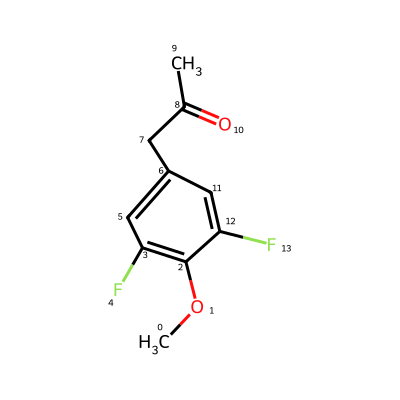 COc1c(F)cc(CC(C)=O)cc1F